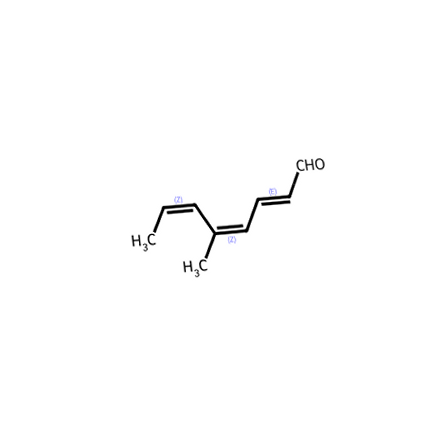 C\C=C/C(C)=C\C=C\C=O